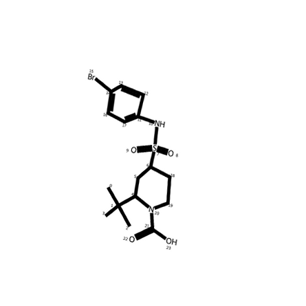 CC(C)(C)C1CC(S(=O)(=O)Nc2ccc(Br)cc2)CCN1C(=O)O